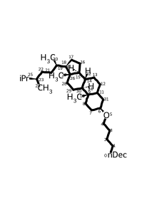 CCCCCCCCCCCCCCO[C@H]1CC[C@@]2(C)C(CC[C@H]3[C@@H]4CC[C@H]([C@H](C)CC[C@@H](C)C(C)C)[C@@]4(C)CC[C@@H]32)C1